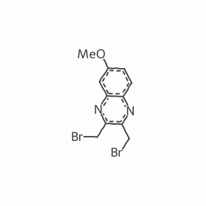 COc1ccc2nc(CBr)c(CBr)nc2c1